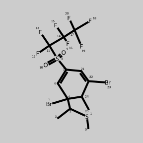 CSC(C)C1(Br)C=C(S(=O)(=O)C(F)(F)C(F)(F)C(F)(F)F)C=C(Br)[C]1C